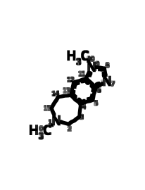 CN1CCc2cc3ncn(C)c3cc2CC1